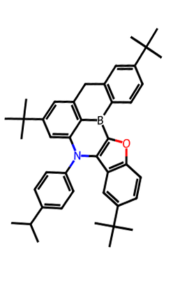 CC(C)c1ccc(N2c3cc(C(C)(C)C)cc4c3B(c3ccc(C(C)(C)C)cc3C4)c3oc4ccc(C(C)(C)C)cc4c32)cc1